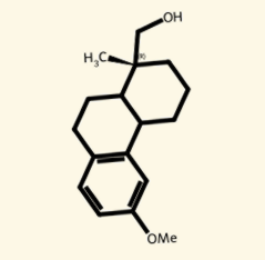 COc1ccc2c(c1)C1CCC[C@@](C)(CO)C1CC2